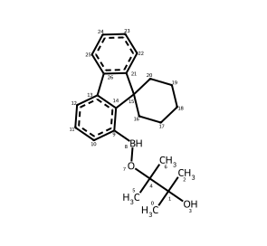 CC(C)(O)C(C)(C)OBc1cccc2c1C1(CCCCC1)c1ccccc1-2